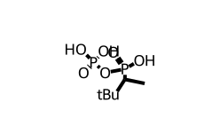 CC(C(C)(C)C)P(=O)(O)OP(=O)(O)O